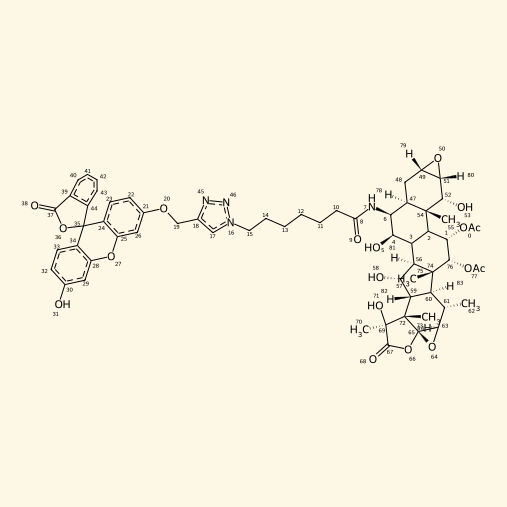 CC(=O)O[C@H]1C2C([C@@H](O)[C@@H](NC(=O)CCCCCCn3cc(COc4ccc5c(c4)Oc4cc(O)ccc4C54OC(=O)c5ccccc54)nn3)[C@H]3C[C@@H]4O[C@@H]4[C@H](O)[C@]23C)[C@@H]2[C@@H](O)[C@@H]3[C@H]([C@H](C)[C@H]4O[C@]45OC(=O)[C@@](C)(O)[C@]35C)[C@@]2(C)[C@H]1OC(C)=O